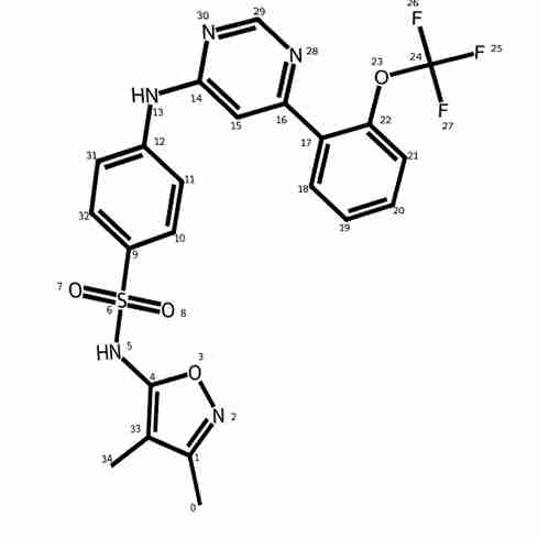 Cc1noc(NS(=O)(=O)c2ccc(Nc3cc(-c4ccccc4OC(F)(F)F)ncn3)cc2)c1C